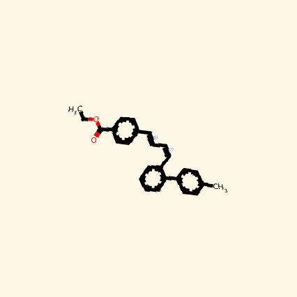 CCOC(=O)c1ccc(/C=C/C=C\c2ccccc2-c2ccc(C)cc2)cc1